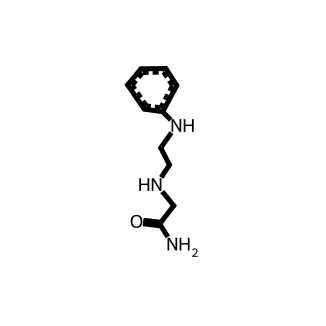 NC(=O)CNCCNc1ccccc1